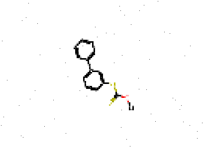 CCOC(=S)Sc1cccc(-c2ccccc2)c1